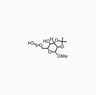 CO[C@H]1OC(COSOI)[C@@H](O)[C@@H]2OC(C)(C)OC12